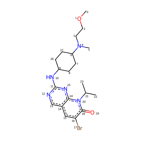 COCCN(C)C1CCC(Nc2ncc3cc(Br)c(=O)n(C(C)C)c3n2)CC1